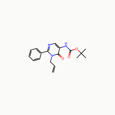 C=CCn1c(-c2ccccc2)ncc(NC(=O)OC(C)(C)C)c1=O